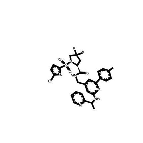 Cc1ccc(-c2cc(CNC(=O)[C@@H]3CC(F)(F)CN3S(=O)(=O)c3ccc(Cl)s3)cc(NC(C)c3ccccn3)n2)cc1